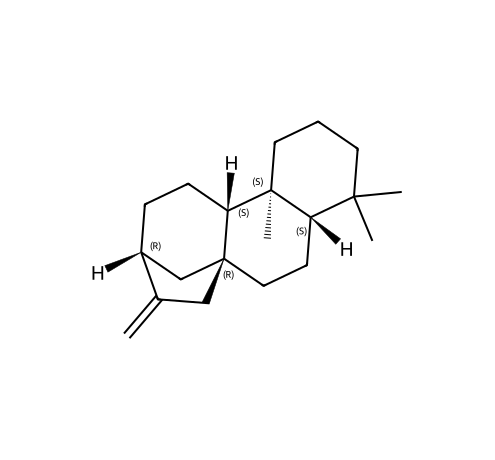 C=C1C[C@]23CC[C@H]4C(C)(C)CCC[C@]4(C)[C@H]2CC[C@@H]1C3